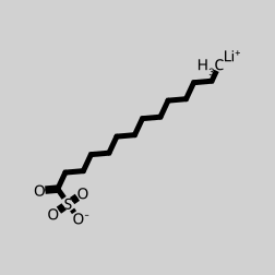 CCCCCCCCCCCCCC(=O)S(=O)(=O)[O-].[Li+]